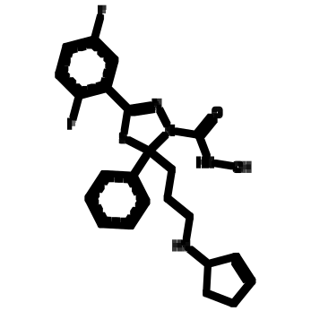 O=C(NO)N1N=C(c2cc(F)ccc2F)SC1(CCCNC1C=CCC1)c1ccccc1